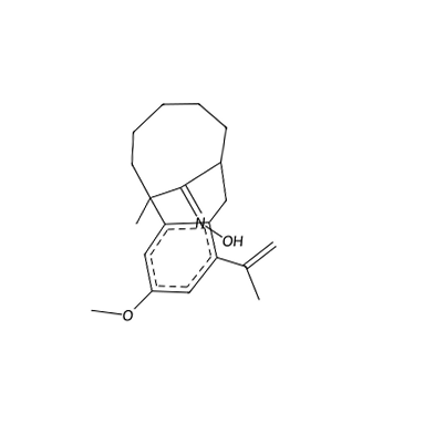 C=C(C)c1cc(OC)cc2c1CC1CCCCCC2(C)/C1=N/O